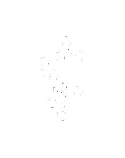 c1ccc(-c2nc(-c3ccc4c(c3)oc3cccc(-c5ccc6c(c5)c5ccccc5n6-c5ccccc5)c34)nc(-c3cccc4c3sc3ccccc34)n2)cc1